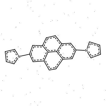 c1ccn(-c2cc3ccc4cc(-n5cccc5)cc5ccc(c2)c3c45)c1